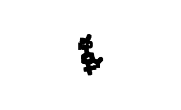 Cc1cnc(-c2ccc(C(C)(C)C)c(C(C)C)c2)o1